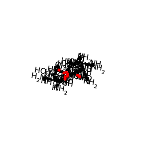 C[C@@H](O)[C@H](NC(=O)[C@H](CCCNC(N)=O)NC(=O)[C@H](CCCNC(=N)N)NC(=O)[C@H](CC(N)=O)NC(=O)[C@@H](NC(=O)[C@@H](N)Cc1ccc(O)cc1)C(C)(C)S)C(=O)N[C@H](CCN)C(=O)N[C@@H](CCCCN)C(=O)N[C@@H](CS)C(=O)N[C@@H](CCN)C(=O)N[C@@H](CCCNC(=N)N)C(=O)N[C@@H](Cc1ccc(O)cc1)C(=O)O